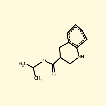 CC(C)OC(=O)C1CNc2ccccc2C1